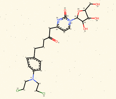 O=C(CCCc1ccc(N(CCCl)CCCl)cc1)Cc1ccn(C2OC(CO)C(O)C2O)c(=O)n1